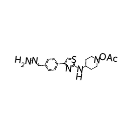 CC(=O)ON1CCC(Nc2nc(-c3ccc(C=NN)cc3)cs2)CC1